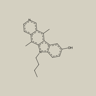 CCCCn1c2ccc(O)cc2c2c(C)c3cnccc3c(C)c21